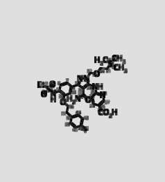 CCS(=O)(=O)Nc1ccc(-c2nn(COCC[Si](C)(C)C)c(Nc3ccc(C(=O)O)cn3)c2C(N)=O)cc1OCCc1ccc(F)cc1